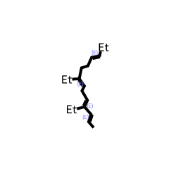 C/C=C/C(=C/C/C=C(\CC)CC/C=C/CC)CC